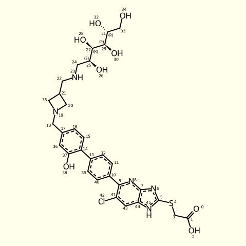 O=C(O)CSc1nc2nc(-c3ccc(-c4ccc(CN5CC(CNC[C@H](O)[C@@H](O)[C@H](O)[C@H](O)CO)C5)cc4O)cc3)c(Cl)cc2[nH]1